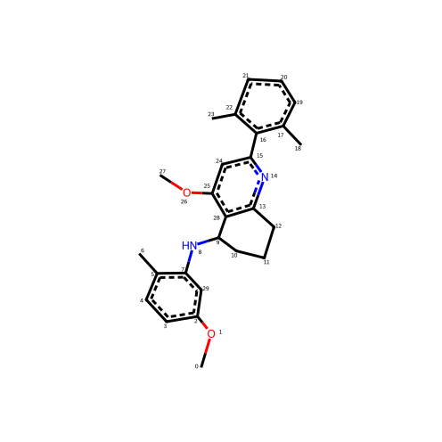 COc1ccc(C)c(NC2CCCc3nc(-c4c(C)cccc4C)cc(OC)c32)c1